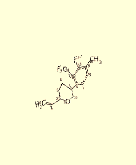 C=CC1CCC(c2ccc(C)c(F)c2C(F)(F)F)CO1